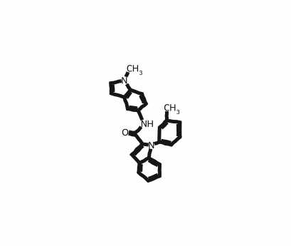 Cc1cccc(-n2c(C(=O)Nc3ccc4c(ccn4C)c3)cc3ccccc32)c1